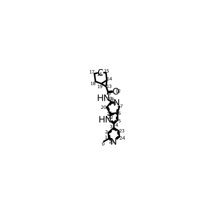 Cc1cc(-c2cc3cnc(NC(=O)C4C5CCCCC54)cc3[nH]2)ccn1